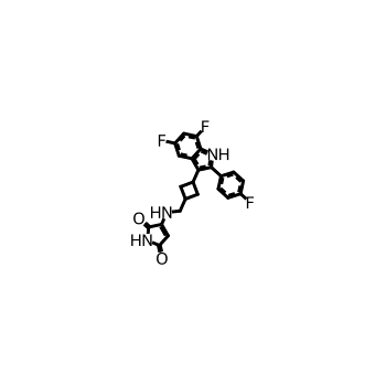 O=C1C=C(NCC2CC(c3c(-c4ccc(F)cc4)[nH]c4c(F)cc(F)cc34)C2)C(=O)N1